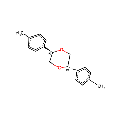 Cc1ccc([C@@H]2CO[C@@H](c3ccc(C)cc3)CO2)cc1